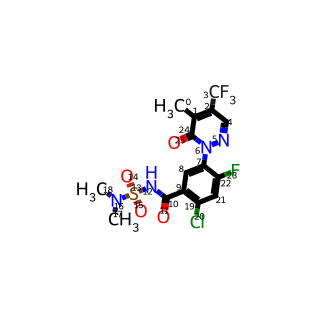 Cc1c(C(F)(F)F)cnn(-c2cc(C(=O)NS(=O)(=O)N(C)C)c(Cl)cc2F)c1=O